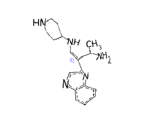 CC(N)/C(=C\NC1CCNCC1)c1cnc2ccccc2n1